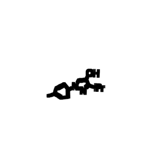 Cc1ccc(-n2cc(O)c(C(C)C)n2)cc1